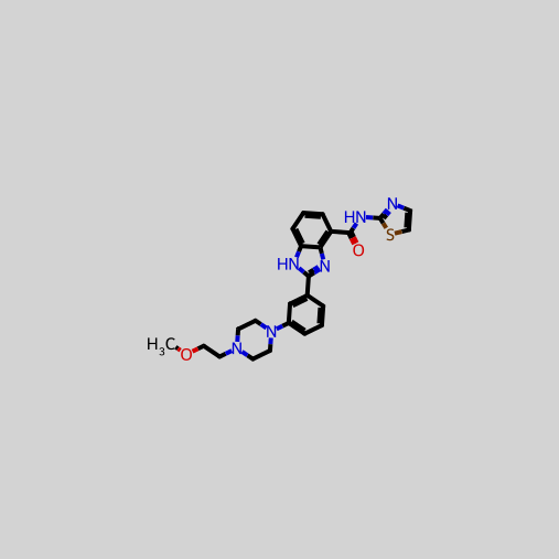 COCCN1CCN(c2cccc(-c3nc4c(C(=O)Nc5nccs5)cccc4[nH]3)c2)CC1